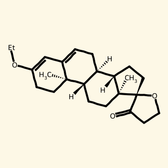 CCOC1=CC2=CC[C@@H]3[C@H](CC[C@@]4(C)[C@H]3CC[C@]43OCCC3=O)[C@@]2(C)CC1